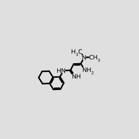 CN(C)/C(N)=C/C(=N)Nc1cccc2c1CCCC2